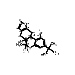 CCCC(C)(C)c1cc(O)c2c(c1)OC(C)(C)[C@@H]1Cc3cnoc3C[C@@H]21